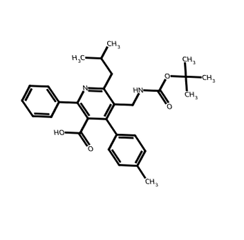 Cc1ccc(-c2c(CNC(=O)OC(C)(C)C)c(CC(C)C)nc(-c3ccccc3)c2C(=O)O)cc1